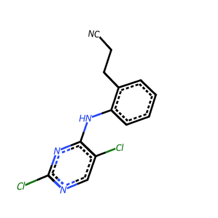 N#CCCc1ccccc1Nc1nc(Cl)ncc1Cl